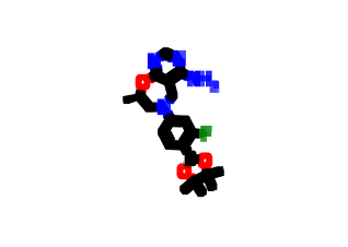 C[C@@H]1CN(c2ccc(B3OC(C)(C)C(C)(C)O3)c(F)c2)Cc2c(N)ncnc2O1